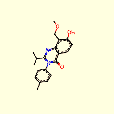 COCc1c(O)ccc2c(=O)n(-c3ccc(C)cc3)c(C(C)C)nc12